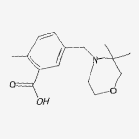 Cc1ccc(CN2CCOCC2(C)C)cc1C(=O)O